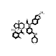 Cc1cccc(F)c1C(=O)N1[C@@H]2CCC[C@@H]2C[C@H](C(=O)Nc2ccc3nn(C)cc3c2)[C@@H]1c1ccc(NC2CCOCC2)cc1